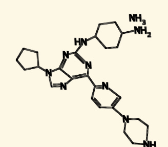 N.NC1CCC(Nc2nc(-c3ccc(N4CCNCC4)cn3)c3ncn(C4CCCC4)c3n2)CC1